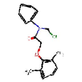 Cc1cccc(C)c1OCC(=O)N(CCl)c1ccccc1